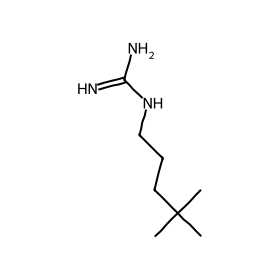 CC(C)(C)CCCNC(=N)N